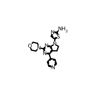 Nc1ncc(N2CCc3c(-c4ccncc4)nc(N4CCOCC4)nc32)s1